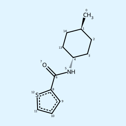 C[C@H]1CC[C@H](NC(=O)c2cccs2)CC1